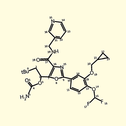 CC(C)(C)CC(OC(N)=O)c1oc(-c2ccc(OC(F)F)c(OCC3CC3)c2)nc1C(=O)NCc1cccnc1